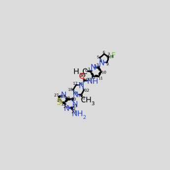 Cc1nc(N2CC[C@H](F)C2)ccc1NC(=O)N1CCN(c2nc(N)nc3scnc23)C(C)C1